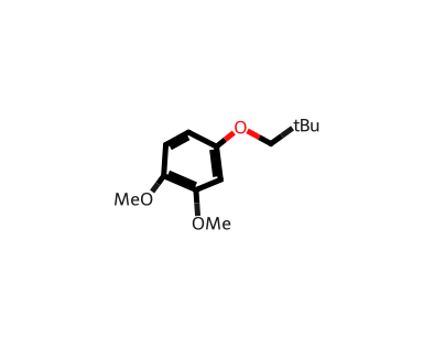 COc1ccc(OCC(C)(C)C)cc1OC